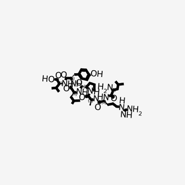 CC(C)C[C@H](NC(=O)[C@@H]1CCCN1C(=O)[C@H](C)NC(=O)[C@H](CCCNC(=N)N)NC(=O)[C@@H](N)CC(C)C)C(=O)N[C@@H](Cc1ccc(O)cc1)C(=O)N[C@H](C(=O)O)C(C)C